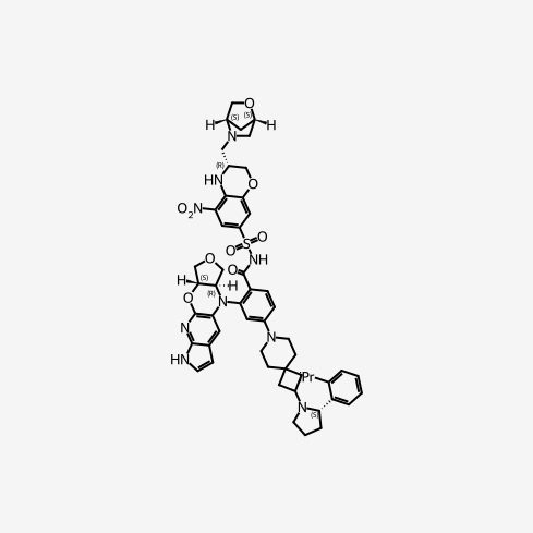 CC(C)c1ccccc1[C@@H]1CCCN1C1CC2(CCN(c3ccc(C(=O)NS(=O)(=O)c4cc5c(c([N+](=O)[O-])c4)N[C@H](CN4C[C@@H]6C[C@H]4CO6)CO5)c(N4c5cc6cc[nH]c6nc5O[C@@H]5COC[C@H]54)c3)CC2)C1